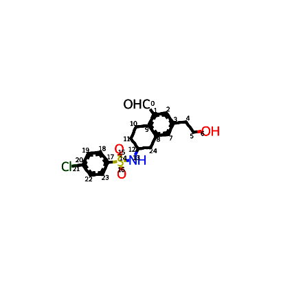 O=Cc1cc(CCO)cc2c1CCC(NS(=O)(=O)c1ccc(Cl)cc1)C2